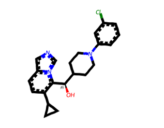 O[C@@H](c1c(C2CC2)ccc2cncn12)C1CCN(c2cccc(Cl)c2)CC1